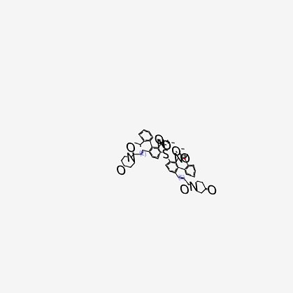 CC(C)c1ccccc1-c1c(/C=C/C(=O)N2CCC(=O)CC2)ccc(Sc2ccc(/C=C/C(=O)N3CCC(=O)CC3)c(-c3ccccc3C(C)C)c2[N+](=O)[O-])c1[N+](=O)[O-]